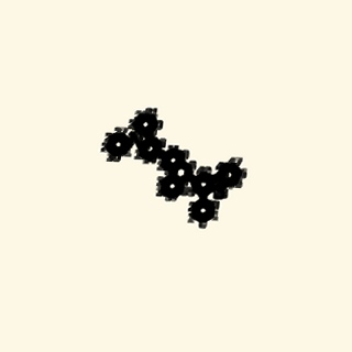 c1ccc(-c2cc(C3Cc4ccc(-c5ccc6c(c5)c5ccccc5n6-c5ccccc5)cc4-c4ccccc43)cc3c2sc2ccccc23)cc1